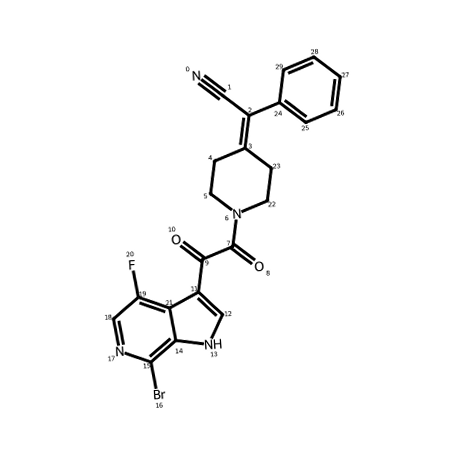 N#CC(=C1CCN(C(=O)C(=O)c2c[nH]c3c(Br)ncc(F)c23)CC1)c1ccccc1